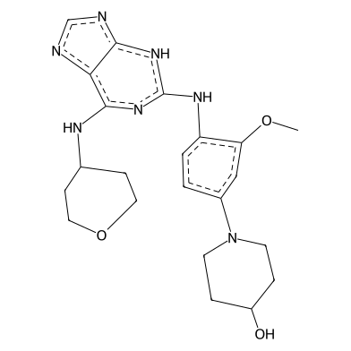 COc1cc(N2CCC(O)CC2)ccc1Nc1nc(NC2CCOCC2)c2ncnc-2[nH]1